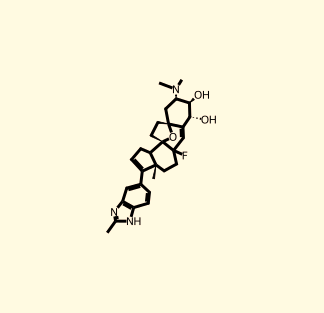 Cc1nc2cc(C3=CCC4[C@@]56CC[C@]7(C[C@H](N(C)C)[C@@H](O)[C@H](O)C7=CC5(F)CC[C@]34C)O6)ccc2[nH]1